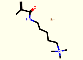 C=C(C)C(=O)NCCCCC[N+](C)(C)C.[Br-]